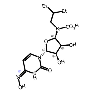 CCC(CC)CN(C(=O)O)[C@@H]1O[C@@H](n2cc/c(=N/O)[nH]c2=O)[C@H](O)[C@@H]1O